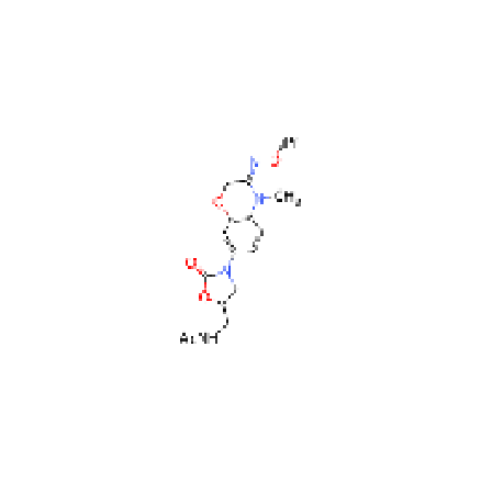 CC(=O)NCC1CN(c2ccc3c(c2)OCC(=NOC(C)C)N3C)C(=O)O1